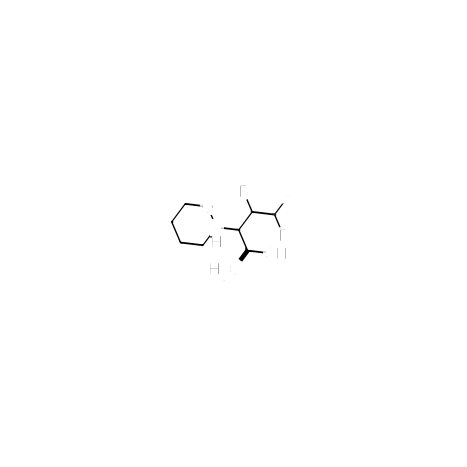 C=C(C)C(C(F)C(F)F)[SiH]1CCCCO1